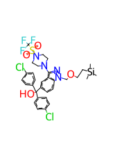 C[Si](C)(C)CCOCn1nc(N2CCN(S(=O)(=O)C(F)(F)F)CC2)c2cc(C(O)(c3ccc(Cl)cc3)c3ccc(Cl)cc3)ccc21